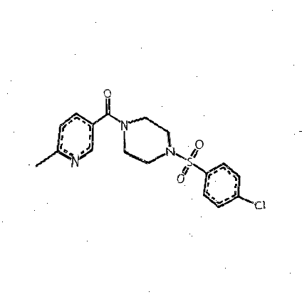 Cc1ccc(C(=O)N2CCN(S(=O)(=O)c3ccc(Cl)cc3)CC2)cn1